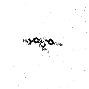 COc1ccc(C(=O)N(CC(N)=O)c2nc3ccc(-c4cn[nH]c4)cc3s2)cc1